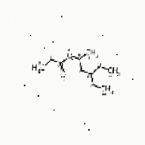 CCC(=O)OC(C)CC(CC)CC